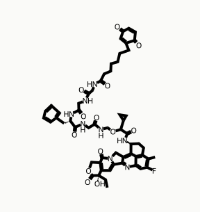 CC[C@@]1(O)C(=O)OCc2c1cc1n(c2=O)Cc2c-1nc1cc(F)c(C)c3c1c2[C@@H](NC(=O)C(OCNC(=O)CNC(=O)[C@H](Cc1ccccc1)NC(=O)CNC(=O)CNC(=O)CCCCCCC1=CC(=O)C=CC1=O)C1CC1)CC3